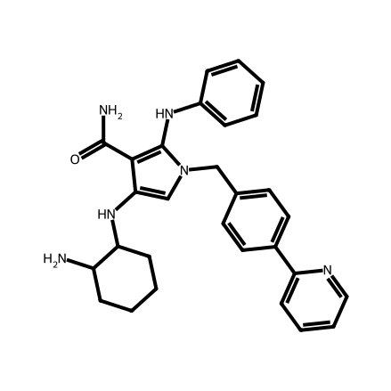 NC(=O)c1c(NC2CCCCC2N)cn(Cc2ccc(-c3ccccn3)cc2)c1Nc1ccccc1